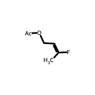 CC(=O)OC/C=C(\C)F